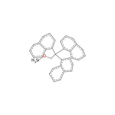 [SiH3]OCC(c1cccc2ccccc12)(c1cccc2ccccc12)c1cccc2ccccc12